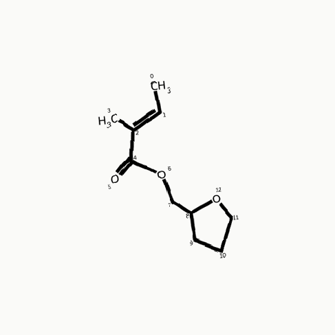 CC=C(C)C(=O)OCC1CCCO1